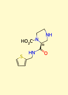 O=C(NCc1cccs1)[C@@H]1CNCCN1C(=O)O